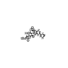 CC(C)(C)OC(=O)CNC(=O)C1=C(O)CC2(COC2)N(Cc2ccc(-c3ccccc3)cc2)C1=O